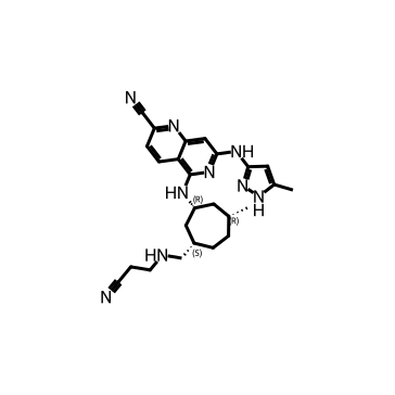 Cc1cc(Nc2cc3nc(C#N)ccc3c(N[C@@H]3C[C@H](C)CC[C@H](CNCCC#N)C3)n2)n[nH]1